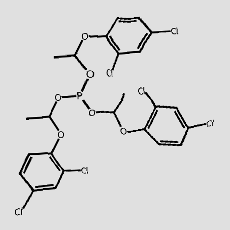 CC(Oc1ccc(Cl)cc1Cl)OP(OC(C)Oc1ccc(Cl)cc1Cl)OC(C)Oc1ccc(Cl)cc1Cl